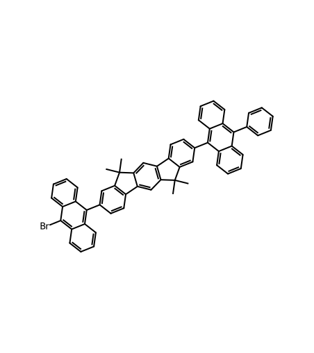 CC1(C)c2cc(-c3c4ccccc4c(Br)c4ccccc34)ccc2-c2cc3c(cc21)-c1ccc(-c2c4ccccc4c(-c4ccccc4)c4ccccc24)cc1C3(C)C